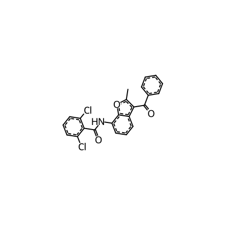 Cc1oc2c(NC(=O)c3c(Cl)cccc3Cl)cccc2c1C(=O)c1ccccc1